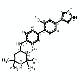 CC1(C)CC(Nc2ncc(-c3ccc(-c4cn[nH]c4)cc3O)nn2)[C@H](F)C(C)(C)N1